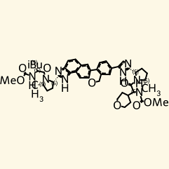 CC[C@H](C)[C@H](NC(=O)OC)C(=O)N1[C@@H](C)CC[C@H]1c1nc2ccc3cc4c(cc3c2[nH]1)OCc1cc(-c2cnc([C@@H]3CC[C@H](C)N3C(=O)[C@@H](NC(=O)OC)C3CCOCC3)[nH]2)ccc1-4